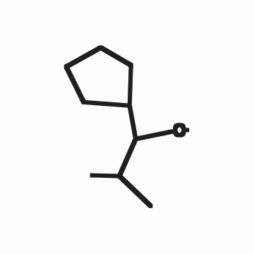 CC(C)C([O])C1CCCC1